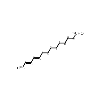 CCCC=CC=CCCCCCCCCC=O